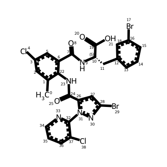 Cc1cc(Cl)cc(C(=O)N[C@@H](Cc2cccc(Br)c2)C(=O)O)c1NC(=O)c1cc(Br)nn1-c1ncccc1Cl